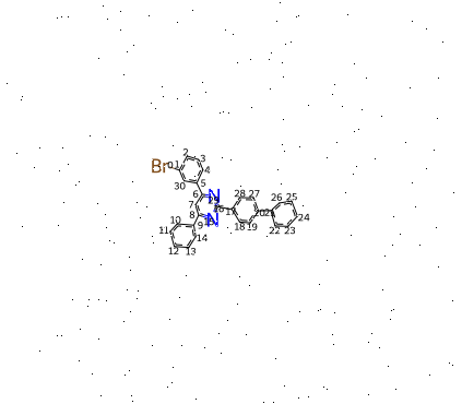 Brc1cccc(-c2cc(-c3ccccc3)nc(-c3ccc(-c4ccccc4)cc3)n2)c1